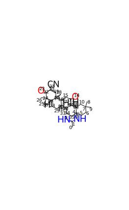 CC(=N)N[C@]12CCC(C)(C)C[C@H]1[C@H]1C(=O)C=C3[C@@]4(C)C=C(C#N)C(=O)C(C)(C)[C@@H]4CC[C@@]3(C)[C@]1(C)CC2